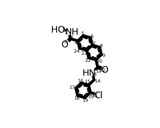 O=C(NO)c1ccc2ccc(C(=O)NCc3ccccc3Cl)cc2c1